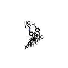 Cc1ccc(CNC(=O)[C@H](C)NC(=O)[C@H](CC(=O)NCC(C)(C)C)NC(=O)c2ccc(/C=C/C(=O)NO)cc2)c(F)c1